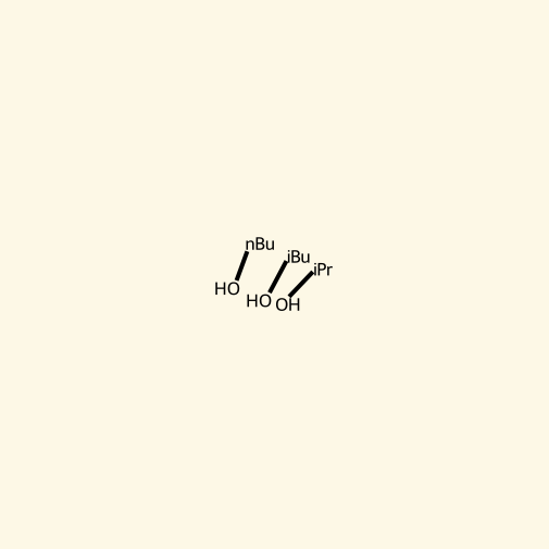 CC(C)O.CCC(C)O.CCCCO